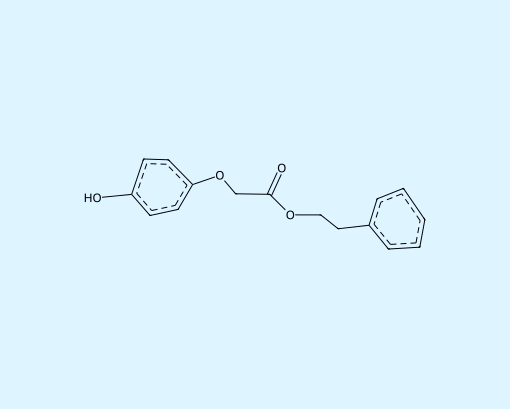 O=C(COc1ccc(O)cc1)OCCc1ccccc1